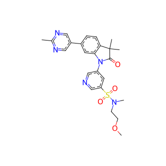 COCCN(C)S(=O)(=O)c1cncc(N2C(=O)C(C)(C)c3ccc(-c4cnc(C)nc4)cc32)c1